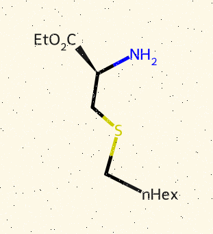 CCCCCCCSC[C@H](N)C(=O)OCC